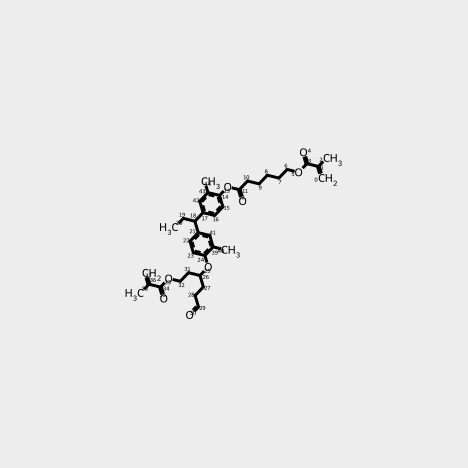 C=C(C)C(=O)OCCCCCC(=O)Oc1ccc(C(CC)c2ccc(OC(CCC=O)CCOC(=O)C(=C)C)c(C)c2)cc1C